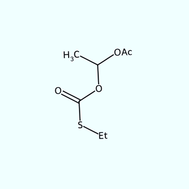 CCSC(=O)OC(C)OC(C)=O